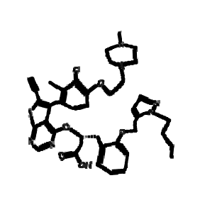 C#Cc1sc2ncnc(O[C@H](Cc3ccccc3OCc3ccnn3CCCC)C(=O)O)c2c1-c1ccc(OCCN2CCN(C)CC2)c(Cl)c1C